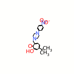 CC(C)c1ccc(CN2CCN(c3ccc([N+](=O)[O-])cc3)CC2)c(=O)c(O)c1